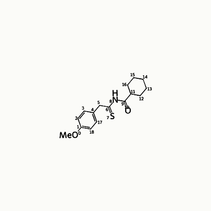 COc1ccc(CC(=S)NC(=O)C2CCCCC2)cc1